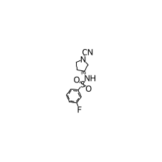 N#CN1CC[C@@H](NS(=O)(=O)c2cccc(F)c2)C1